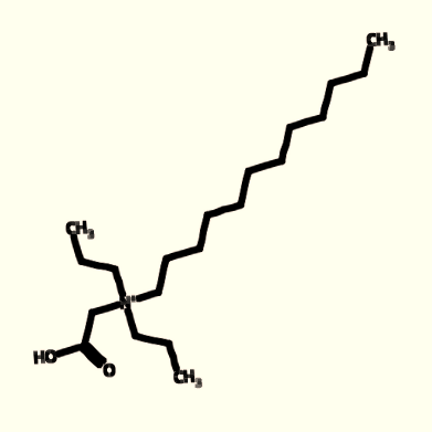 CCCCCCCCCCCC[N+](CCC)(CCC)CC(=O)O